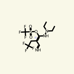 CCN(CC)N/C(OS(=O)(=O)C(F)(F)F)=C(\C=N)CC(F)(F)F